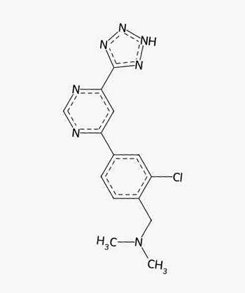 CN(C)Cc1ccc(-c2cc(-c3nn[nH]n3)ncn2)cc1Cl